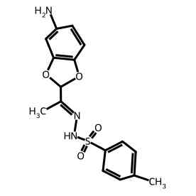 CC(=NNS(=O)(=O)c1ccc(C)cc1)C1Oc2ccc(N)cc2O1